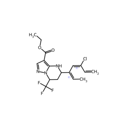 C=C/C(Cl)=C\C(=C/C)C1CC(C(F)(F)F)n2ncc(C(=O)OCC)c2N1